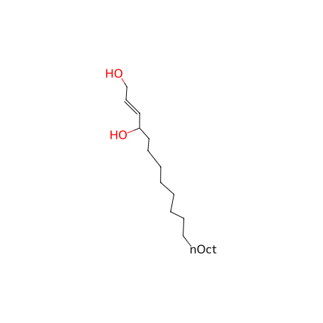 CCCCCCCCCCCCCCCCC(O)C=CCO